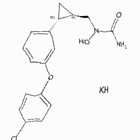 NC(=O)N(O)C[C@@H]1C[C@H]1c1cccc(Oc2ccc(Cl)cc2)c1.[KH]